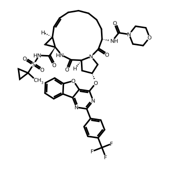 CC1(S(=O)(=O)NC(=O)[C@@]23C[C@H]2/C=C\CCCCC[C@H](NC(=O)N2CCOCC2)C(=O)N2C[C@H](Oc4nc(-c5ccc(C(F)(F)F)cc5)nc5c4oc4ccccc45)C[C@H]2C(=O)N3)CC1